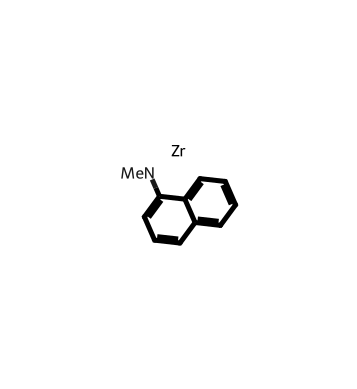 CNc1cccc2ccccc12.[Zr]